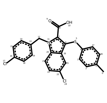 Cc1ccc(Sc2c(C(=O)O)n(Cc3ccc(Cl)cc3)c3ccc(Cl)cc23)cc1